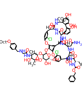 CCCCCCCCOc1ccc(CNCC(=O)N[C@@]2(C)C[C@H](OC3C(Oc4c5cc6cc4Oc4ccc(cc4Cl)[C@@H](O)[C@@H](NC(=O)[C@H](CC(C)C)NC(=O)OCc4ccccc4)C(=O)N[C@@H](CC(N)=O)C(=O)N[C@H]6C(=O)N[C@H]4C(=O)NC(C(=O)N[C@H](C(=O)O)c6cc(O)cc(O)c6-c6cc4ccc6O)[C@H](O)c4ccc(c(Cl)c4)O5)O[C@H](CO)[C@@H](O)[C@@H]3O)O[C@@H](C)[C@H]2O)cc1